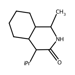 CC(C)C1C(=O)NC(C)C2CCCCC21